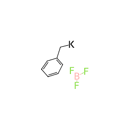 FB(F)F.[K][CH2]c1ccccc1